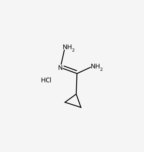 Cl.NN=C(N)C1CC1